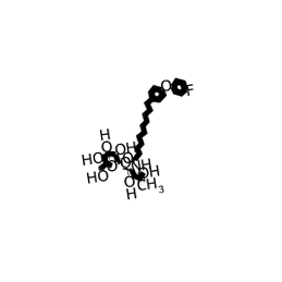 C[C@@H](O)[C@@H](O)[C@H](CO[C@H]1OC(CO)[C@H](O)C(O)C1O)NC(=O)CCCCCCCCCCc1ccc(Oc2ccc(F)cc2)cc1